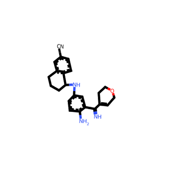 N#Cc1ccc2c(c1)CCCC2Nc1ccc(N)c(C(=N)C2=CCOCC2)c1